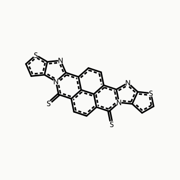 S=c1c2ccc3c(=S)n4c5ccsc5nc4c4ccc(c2c34)c2nc3sccc3n12